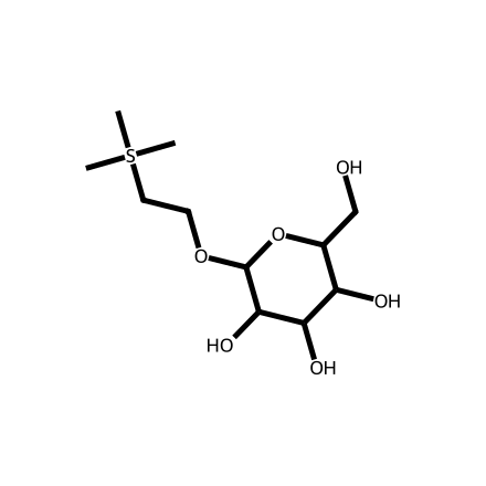 CS(C)(C)CCOC1OC(CO)C(O)C(O)C1O